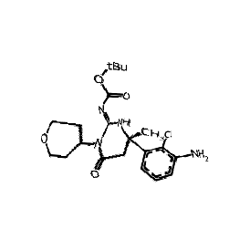 CC(C)(C)OC(=O)N=C1N[C@](C)(c2cccc(N)c2Cl)CC(=O)N1C1CCOCC1